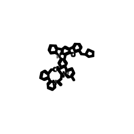 C=C1CC2(C)[n+]3cc(C)ccc3-c3cc4c5c6oc7c(CC8CCCC8)cccc7c6cc6c7ccccc7n(c4cc3C2(C)CCc2ccccc2-c2cccc[n+]21)c65